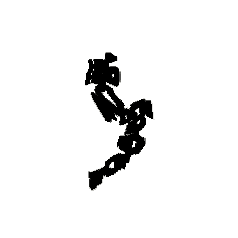 CN(C)C1CCN(Cc2ccc(-c3cc4nccc(Oc5ccc(NC(=O)NC6CC6)cc5F)c4s3)nc2)CC1